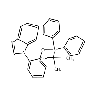 CC(C)(C)[Si](Oc1ccccc1-n1nnc2ccccc21)(c1ccccc1)c1ccccc1